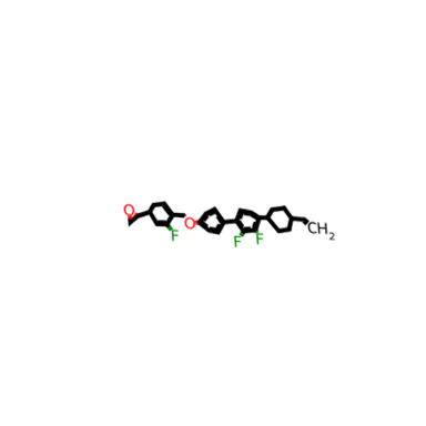 C=CC1CCC(c2ccc(-c3ccc(OCC4=CCC(C5CO5)C=C4F)cc3)c(F)c2F)CC1